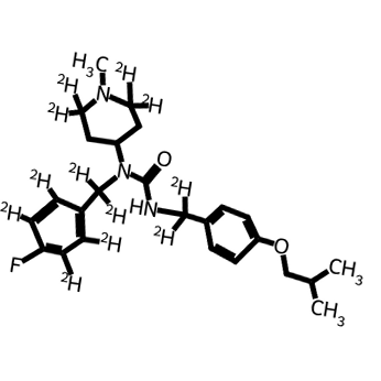 [2H]c1c([2H])c(C([2H])([2H])N(C(=O)NC([2H])([2H])c2ccc(OCC(C)C)cc2)C2CC([2H])([2H])N(C)C([2H])([2H])C2)c([2H])c([2H])c1F